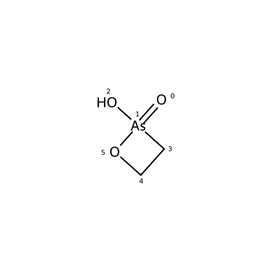 O=[As]1(O)CCO1